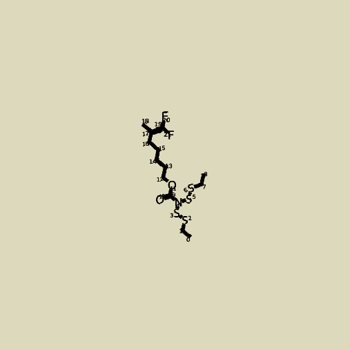 CCSSN(SSCC)C(=O)OCCCCCC(C)=C(F)F